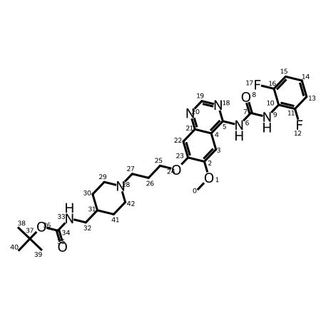 COc1cc2c(NC(=O)Nc3c(F)cccc3F)ncnc2cc1OCCCN1CCC(CNC(=O)OC(C)(C)C)CC1